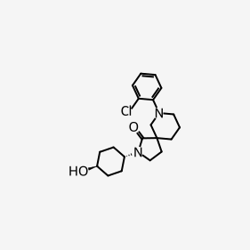 O=C1N([C@H]2CC[C@H](O)CC2)CCC12CCCN(c1ccccc1Cl)C2